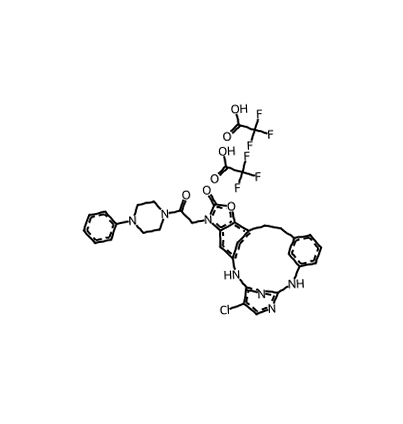 O=C(Cn1c(=O)oc2c3cc(cc21)Nc1nc(ncc1Cl)Nc1cccc(c1)CC3)N1CCN(c2ccccc2)CC1.O=C(O)C(F)(F)F.O=C(O)C(F)(F)F